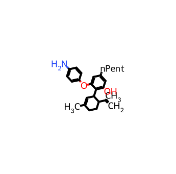 C=C(C)C1CCC(C)=CC1c1c(O)cc(CCCCC)cc1Oc1ccc(N)cc1